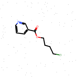 O=C(OCCCCCl)c1cccnc1